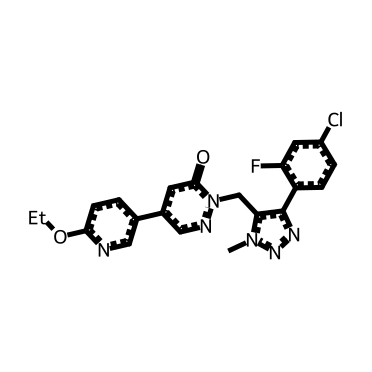 CCOc1ccc(-c2cnn(Cc3c(-c4ccc(Cl)cc4F)nnn3C)c(=O)c2)cn1